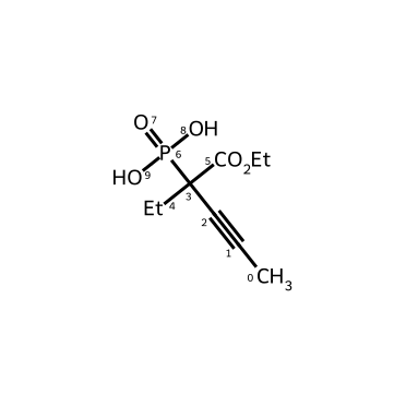 CC#CC(CC)(C(=O)OCC)P(=O)(O)O